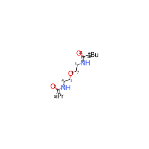 CC(C)C(=O)NCCOCCNC(=O)C(C)(C)C